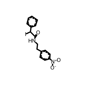 O=C(NCCc1ccc([N+](=O)[O-])cc1)C(I)c1ccccc1